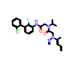 C=C/C=C(\C)N(CC(=O)N(CC(=O)Nc1cccc(-c2ccccc2Cl)c1F)C(C)C)N=C